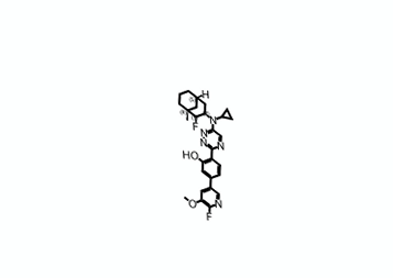 COc1cc(-c2ccc(-c3ncc(N(C4CC4)[C@@H]4C[C@H]5CCC[C@](C)(C5)[C@@H]4F)nn3)c(O)c2)cnc1F